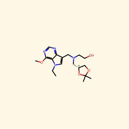 CCn1cc(CN(CCO)C[C@@H]2COC(C)(C)O2)c2ncnc(OC)c21